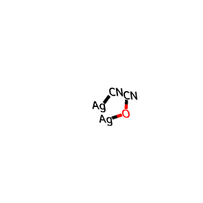 N#C[O][Ag].N#[C][Ag]